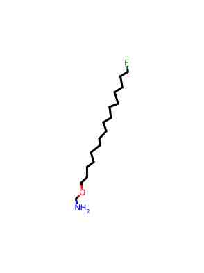 NCOCCCCCCCCCCCCCCCCF